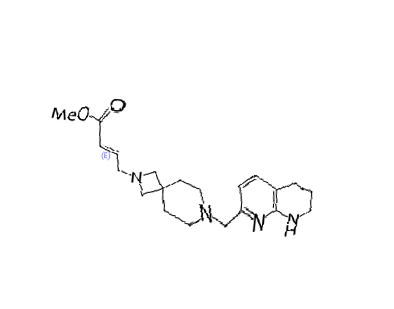 COC(=O)/C=C/CN1CC2(CCN(Cc3ccc4c(n3)NCCC4)CC2)C1